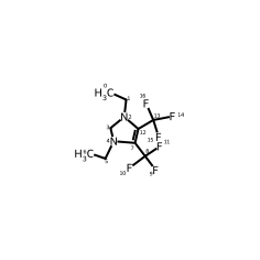 CCN1CN(CC)C(C(F)(F)F)=C1C(F)(F)F